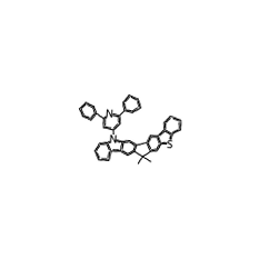 CC1(C)c2cc3sc4ccccc4c3cc2-c2cc3c(cc21)c1ccccc1n3-c1cc(-c2ccccc2)nc(-c2ccccc2)c1